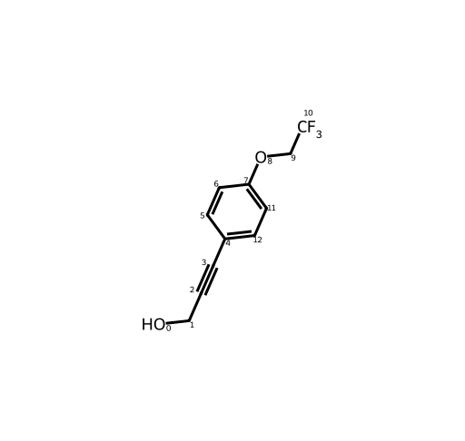 OCC#Cc1ccc(OCC(F)(F)F)cc1